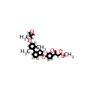 COC(=O)CC1COc2cc(O[C@@H]3CCc4c(-c5c(C)cc(OCC6(C)COC6)cc5C)cccc43)ccc21